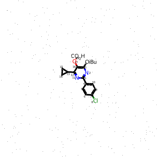 CC(C)COc1nc(-c2ccc(Cl)cc2)nc(C2CC2)c1OC(=O)O